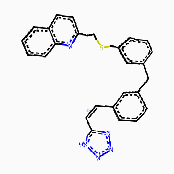 C(=C/c1nnn[nH]1)/c1cccc(Cc2cccc(SCc3ccc4ccccc4n3)c2)c1